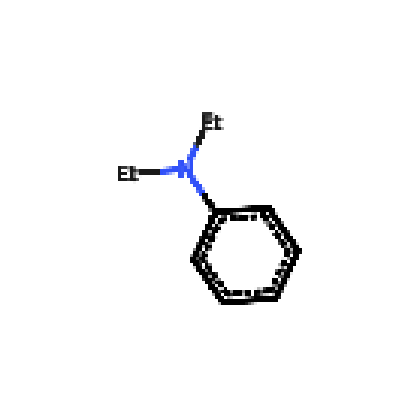 [CH2]CN(C[CH2])c1ccccc1